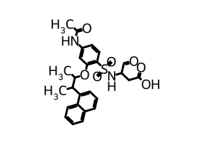 CC(=O)Nc1ccc(S(=O)(=O)NC(C=O)CC(=O)O)c(OC(C)C(C)c2cccc3ccccc23)c1